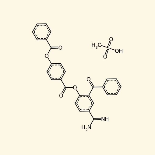 CS(=O)(=O)O.N=C(N)c1ccc(OC(=O)c2ccc(OC(=O)c3ccccc3)cc2)c(C(=O)c2ccccc2)c1